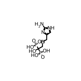 Nc1nc(COCC(O)(P(=O)(O)O)P(=O)(O)O)c[nH]1